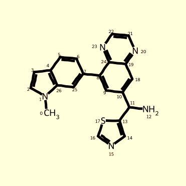 Cn1ccc2ccc(-c3cc(C(N)c4cncs4)cc4nccnc34)cc21